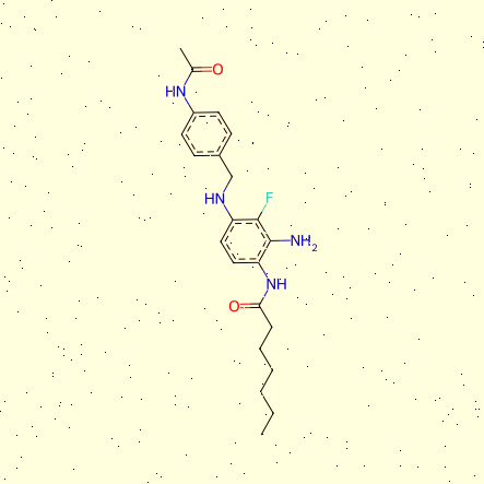 CCCCCCC(=O)Nc1ccc(NCc2ccc(NC(C)=O)cc2)c(F)c1N